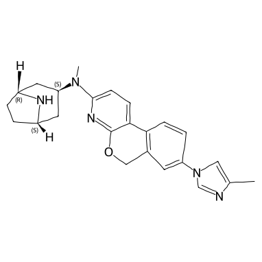 Cc1cn(-c2ccc3c(c2)COc2nc(N(C)[C@@H]4C[C@H]5CC[C@@H](C4)N5)ccc2-3)cn1